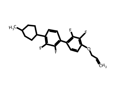 C=CCOc1ccc(-c2ccc(C3CCC(C)CC3)c(F)c2F)c(F)c1F